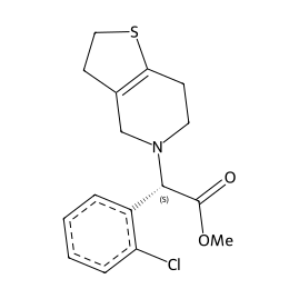 COC(=O)[C@H](c1ccccc1Cl)N1CCC2=C(CCS2)C1